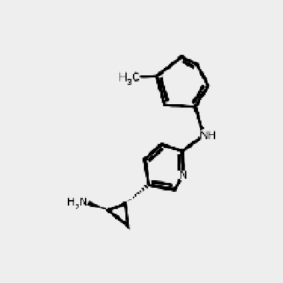 Cc1cccc(Nc2ccc([C@@H]3C[C@H]3N)cn2)c1